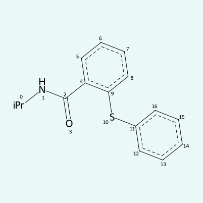 CC(C)NC(=O)c1ccccc1Sc1ccccc1